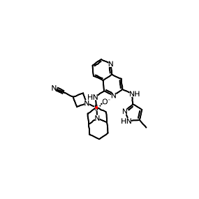 Cc1cc(Nc2cc3ncccc3c(NC3CC4CCCC(C3)N4[S+]([O-])N3CC(C#N)C3)n2)n[nH]1